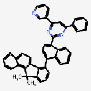 CC1(C)c2cccc(-c3ccc(-c4nc(-c5ccccc5)cc(-c5cccnc5)n4)c4ccccc34)c2-c2ccc3ccccc3c21